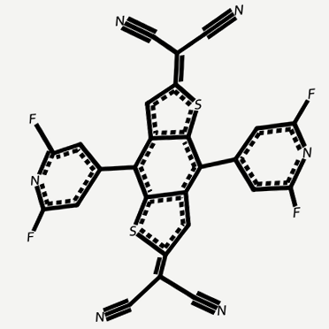 N#CC(C#N)=c1cc2c(-c3cc(F)nc(F)c3)c3sc(=C(C#N)C#N)cc3c(-c3cc(F)nc(F)c3)c2s1